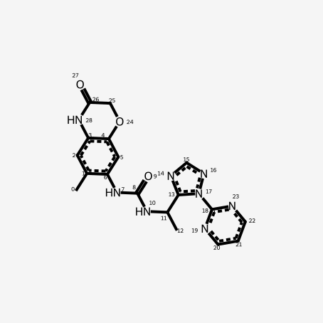 Cc1cc2c(cc1NC(=O)NC(C)c1ncnn1-c1ncccn1)OCC(=O)N2